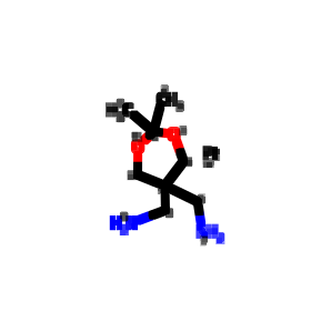 CC1(C)OCC(CN)(CN)CO1.[Pt]